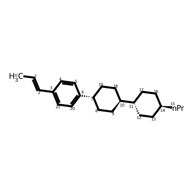 CC=Cc1ccc([C@H]2CC[C@H]([C@H]3CC[C@H](CCC)CC3)CC2)cc1